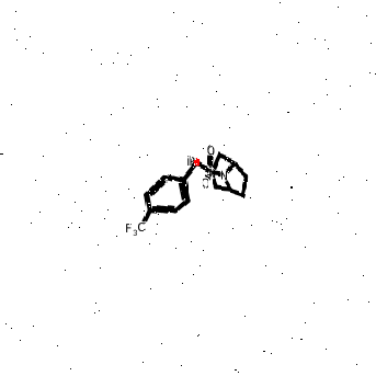 CC(C)N1CC2CCC(C1)N2S(=O)(=O)Cc1ccc(C(F)(F)F)cc1